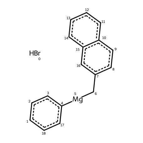 Br.c1cc[c]([Mg][CH2]c2ccc3ccccc3c2)cc1